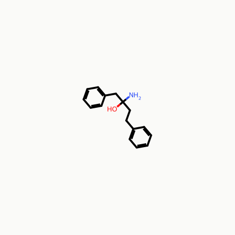 NC(O)(CCc1ccccc1)Cc1ccccc1